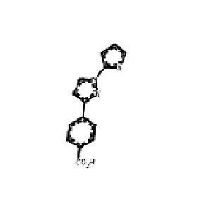 O=C(O)c1ccc(-c2ccn(-c3cccs3)n2)cc1